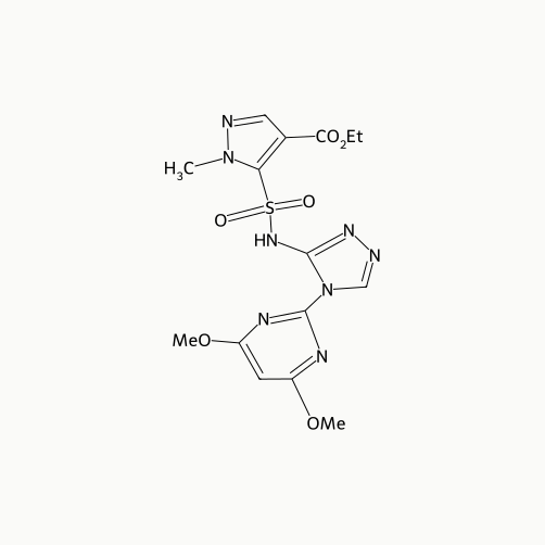 CCOC(=O)c1cnn(C)c1S(=O)(=O)Nc1nncn1-c1nc(OC)cc(OC)n1